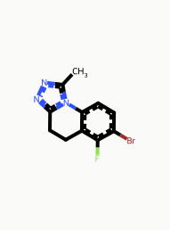 Cc1nnc2n1-c1ccc(Br)c(F)c1CC2